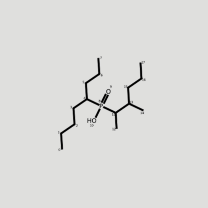 CCCCC(CCC)P(=O)(O)C(C)C(C)CCC